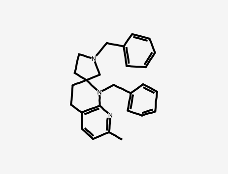 Cc1ccc2c(n1)N(Cc1ccccc1)C1(CC2)CCN(Cc2ccccc2)C1